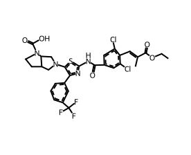 CCOC(=O)C(C)=Cc1c(Cl)cc(C(=O)Nc2nc(-c3cccc(C(F)(F)F)c3)c(N3CC4CCN(C(=O)O)C4C3)s2)cc1Cl